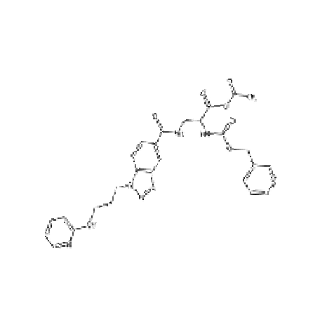 O=C(N[C@@H](CNC(=O)c1ccc2c(cnn2CCCNc2ccccn2)c1)C(=O)OC(=O)C(F)(F)F)OCc1ccccc1